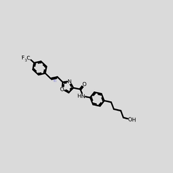 O=C(Nc1ccc(CCCCO)cc1)c1coc(/C=C/c2ccc(C(F)(F)F)cc2)n1